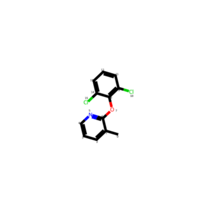 Cc1cccnc1Oc1c(Cl)cccc1Cl